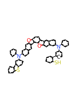 Sc1ccccc1-c1cccc(N(c2ccccc2)c2ccc3cc4c(cc3c2)oc2c4ccc3oc4cc5cc(N(c6ccccc6)c6ccc7sc8ccccc8c7c6)ccc5cc4c32)c1